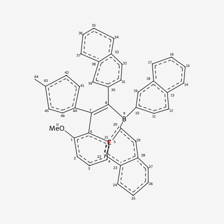 COc1ccccc1/C(=C(\B(c1ccc2ccccc2c1)c1ccc2ccccc2c1)c1ccc2ccccc2c1)c1ccc(C)cc1